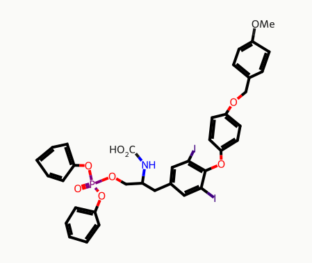 COc1ccc(COc2ccc(Oc3c(I)cc(CC(COP(=O)(Oc4ccccc4)Oc4ccccc4)NC(=O)O)cc3I)cc2)cc1